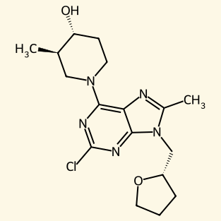 Cc1nc2c(N3CC[C@@H](O)[C@H](C)C3)nc(Cl)nc2n1C[C@@H]1CCCO1